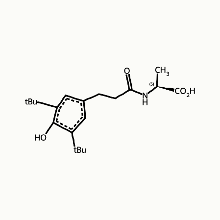 C[C@H](NC(=O)CCc1cc(C(C)(C)C)c(O)c(C(C)(C)C)c1)C(=O)O